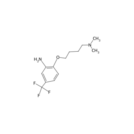 CN(C)CCCCOc1ccc(C(F)(F)F)cc1N